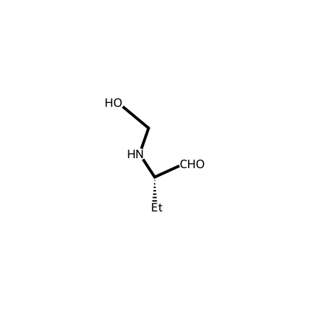 CC[C@@H](C=O)NCO